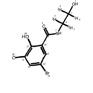 [2H]C([2H])(O)C([2H])([2H])NC(=O)c1cc(Br)cc(Cl)c1O